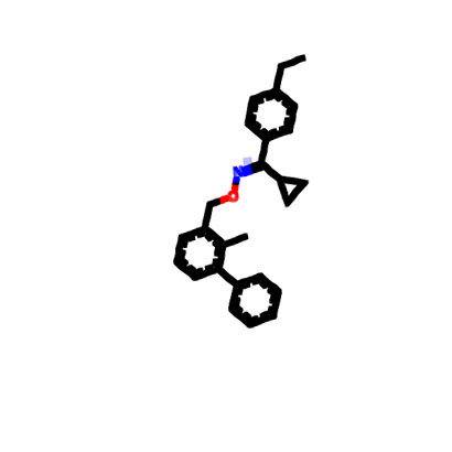 CCc1ccc(/C(=N/OCc2cccc(-c3ccccc3)c2C)C2CC2)cc1